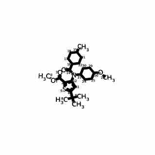 COC(=O)c1sc(C(C)(C)C)cc1N(C(=O)C1CCC(C)CC1)C1CCC(OC)CC1